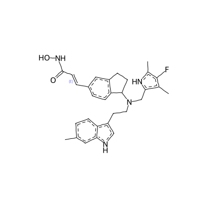 Cc1ccc2c(CCN(Cc3[nH]c(C)c(F)c3C)C3CCc4cc(/C=C/C(=O)NO)ccc43)c[nH]c2c1